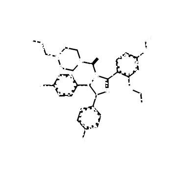 CCOc1cc(OC)ccc1C1=NC(c2ccc(C)cc2)C(c2ccc(Br)cc2)N1C(=O)N1CCN(CCO)CC1